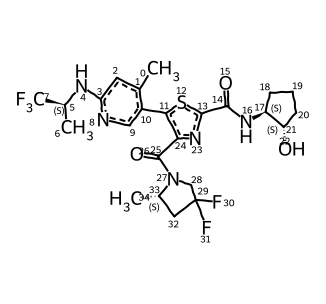 Cc1cc(N[C@@H](C)C(F)(F)F)ncc1-c1sc(C(=O)N[C@H]2CCC[C@@H]2O)nc1C(=O)N1CC(F)(F)C[C@@H]1C